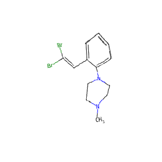 CN1CCN(c2ccccc2C=C(Br)Br)CC1